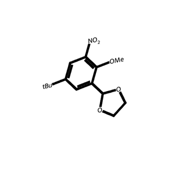 COc1c(C2OCCO2)cc(C(C)(C)C)cc1[N+](=O)[O-]